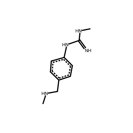 CNCc1ccc(NC(=N)NC)cc1